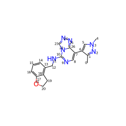 Cc1nn(C)cc1-c1cnc(NCc2cccc3c2CCO3)n2cnnc12